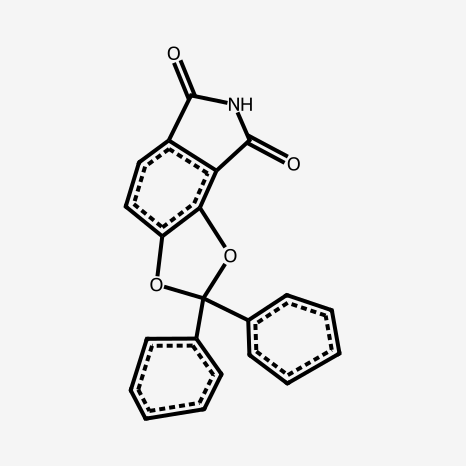 O=C1NC(=O)c2c1ccc1c2OC(c2ccccc2)(c2ccccc2)O1